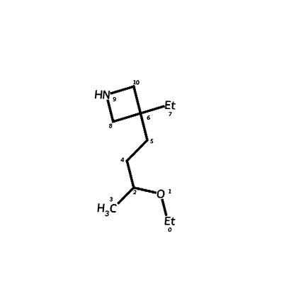 CCOC(C)CCC1(CC)CNC1